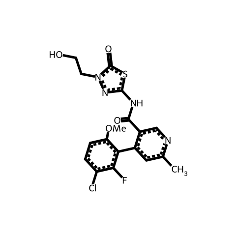 COc1ccc(Cl)c(F)c1-c1cc(C)ncc1C(=O)Nc1nn(CCO)c(=O)s1